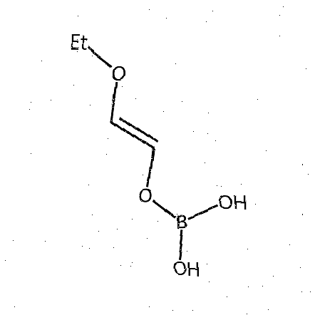 CCOC=COB(O)O